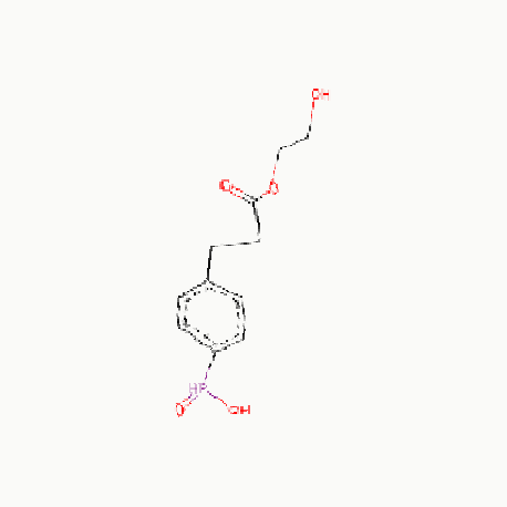 O=C(CCc1ccc([PH](=O)O)cc1)OCCO